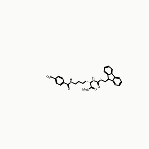 COC(=O)[C@H](CCCCNC(=O)c1ccc([N+](=O)[O-])cc1)NC(=O)OCC1c2ccccc2-c2ccccc21